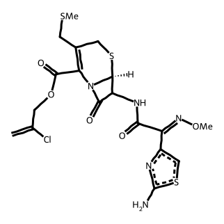 C=C(Cl)COC(=O)C1=C(CSC)CS[C@H]2C(NC(=O)C(=NOC)c3csc(N)n3)C(=O)N12